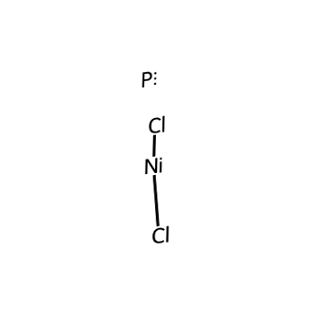 [Cl][Ni][Cl].[P]